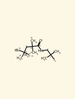 CC(C)(I)CNC(=O)C(C)(C)CC(C)(C)C(C)(C)C